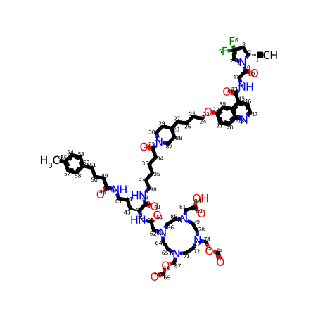 C#C[C@H]1CC(F)(F)CN1C(=O)CNC(=O)c1ccnc2ccc(OCCCCC3CCN(C(=O)CCCCCNC(=O)[C@H](CCCNC(=O)CCCc4ccc(C)cc4)NC(=O)CN4CCN(COC=O)CCN(COC=O)CCN(CC(=O)O)CC4)CC3)cc12